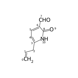 C=CCc1ccc(C=O)c(=O)[nH]1